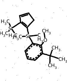 COc1c(C(C)(C)C)cccc1[Si](C)(C)C1=C([Si](C)(C)C)C=CC1